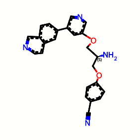 N#Cc1ccc(OC[C@H](N)COc2cncc(-c3ccc4cnccc4c3)c2)cc1